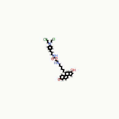 C[C@]12C[C@H](CCCCCCNCCOC(=O)NCCCc3ccc(N(CCCl)CCCl)cc3)C3=C4CCC(=O)C=C4CCC3C1CC[C@@H]2O